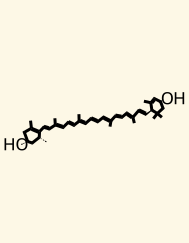 CC1=C[C@@H](O)CC(C)(C)[C@H]1/C=C/C(C)=C/C=C/C(C)=C/C=C/C=C(C)/C=C/C=C(C)/C=C/C1=C(C)C[C@@H](O)C[C@H]1C